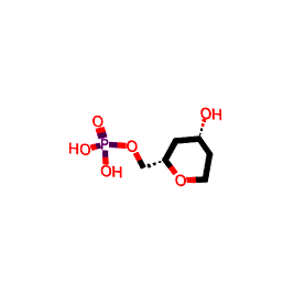 O=P(O)(O)OC[C@@H]1C[C@H](O)CCO1